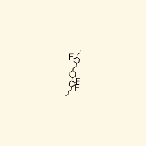 CCCCc1ccc(C2CCC(CCc3ccc(CCC)c(F)c3)CC2)c(F)c1F